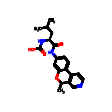 CC(C)C[C@H](NC(=O)O)C(=O)Nc1ccc2c(c1)OC(C)c1cnccc1-2